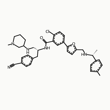 Cc1ccc([C@@H](C)NCc2ccc(-c3ccc(Cl)c(C(=O)N[C@@H](CNC4CCCN(C)C4)Cc4ccc(C#N)cc4)c3)o2)cc1